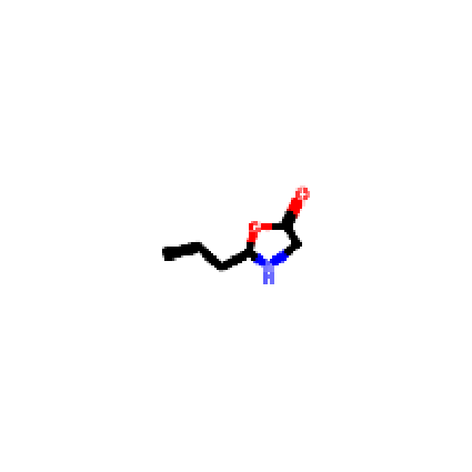 C=CCC1NCC(=O)O1